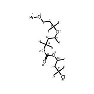 CC(C)OCCC(C)(C)OC(C)CC(C)(C)OC(=O)OC(C)CC(C)(C)Cl